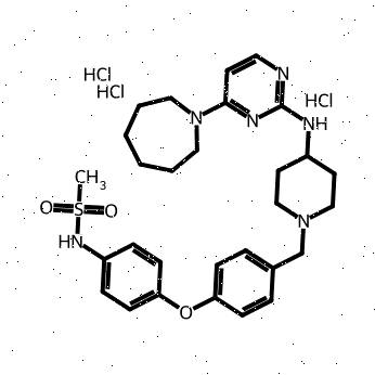 CS(=O)(=O)Nc1ccc(Oc2ccc(CN3CCC(Nc4nccc(N5CCCCCC5)n4)CC3)cc2)cc1.Cl.Cl.Cl